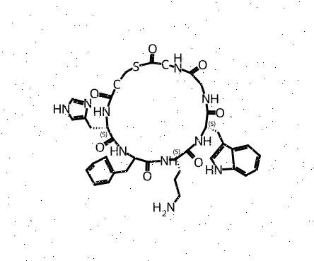 NCCC[C@@H]1NC(=O)C(Cc2ccccc2)NC(=O)[C@H](Cc2c[nH]cn2)NC(=O)CCSC(=O)CNC(=O)CNC(=O)[C@H](Cc2c[nH]c3ccccc23)NC1=O